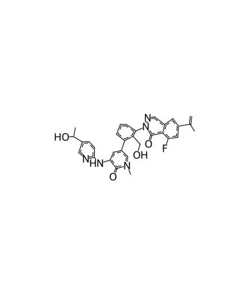 C=C(C)c1cc(F)c2c(=O)n(-c3cccc(-c4cc(Nc5ccc(C(C)O)cn5)c(=O)n(C)c4)c3CO)ncc2c1